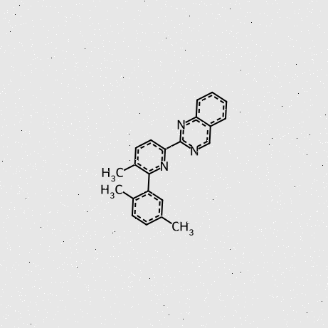 Cc1ccc(C)c(-c2nc(-c3ncc4ccccc4n3)ccc2C)c1